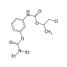 CCN(CC)C(=O)Oc1cccc(NC(=O)OC(C)CCl)c1